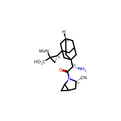 CNC1(C(=O)O)C[C@H]1C12CC3C[C@H](CC([C@H](N)C(=O)N4C5CC5C[C@H]4C#N)(C3)C1)C2